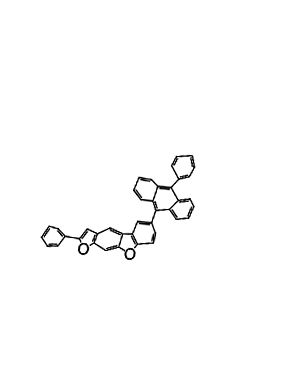 c1ccc(-c2cc3cc4c(cc3o2)oc2ccc(-c3c5ccccc5c(-c5ccccc5)c5ccccc35)cc24)cc1